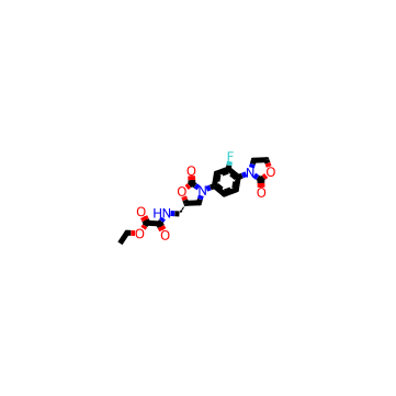 CCOC(=O)C(=O)NC[C@H]1CN(c2ccc(N3CCOC3=O)c(F)c2)C(=O)O1